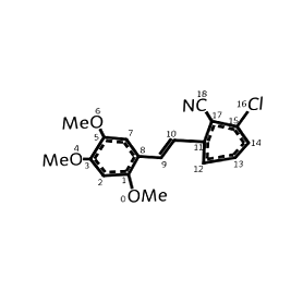 COc1cc(OC)c(OC)cc1C=Cc1cccc(Cl)c1C#N